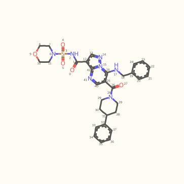 O=C(NS(=O)(=O)N1CCOCC1)c1cnn2c(NCc3ccccc3)c(C(=O)N3CCC(c4ccccc4)CC3)cnc12